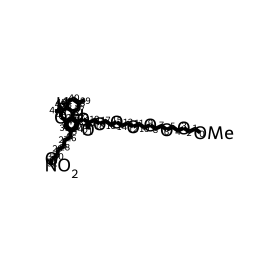 COCCOCCOCCOCCOCCOCCOCC(=O)Oc1cc(CCCCCO[N+](=O)[O-])cc2c1[C@@H]1CC(C)=CC[C@H]1C(C)(C)O2